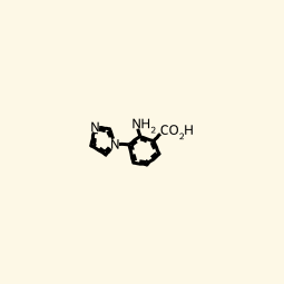 Nc1c(C(=O)O)cccc1-n1ccnc1